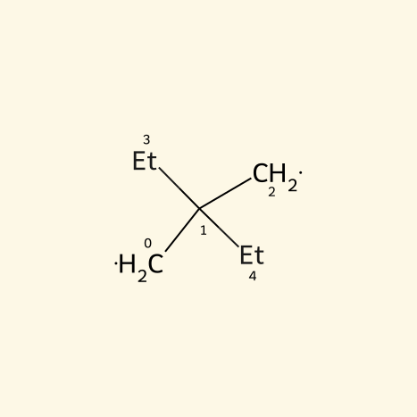 [CH2]C([CH2])(CC)CC